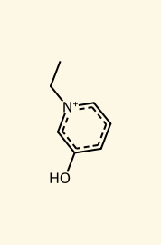 CC[n+]1cccc(O)c1